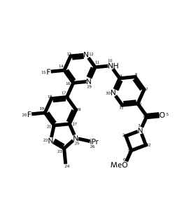 COC1CN(C(=O)c2ccc(Nc3ncc(F)c(-c4cc(F)c5nc(C)n(C(C)C)c5c4)n3)nc2)C1